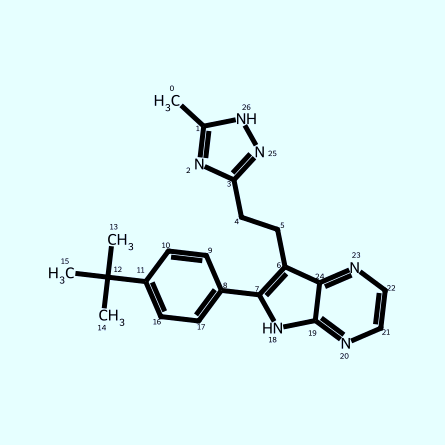 Cc1nc(CCc2c(-c3ccc(C(C)(C)C)cc3)[nH]c3nccnc23)n[nH]1